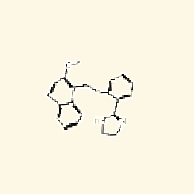 COc1ccc2ccccc2c1CCc1ccccc1C1=NCCN1